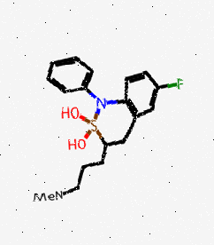 CNCCCC1Cc2cc(F)ccc2N(c2ccccc2)S1(O)O